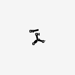 CN=O.O=[N+]([O-])O